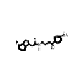 CCc1ccc(C(=O)CCCNC(=S)CC2CCc3c(F)cccc32)cc1